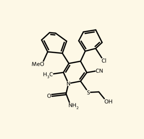 COc1ccccc1C1=C(C)N(C(N)=O)C(SCO)=C(C#N)C1c1ccccc1Cl